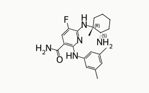 Cc1cc(C)cc(Nc2nc(N[C@]3(C)CCCC[C@@H]3N)c(F)cc2C(N)=O)c1